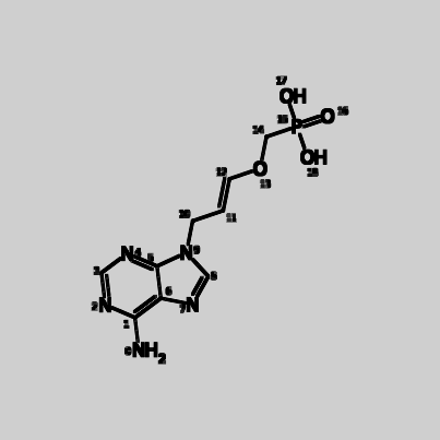 Nc1ncnc2c1ncn2CC=COCP(=O)(O)O